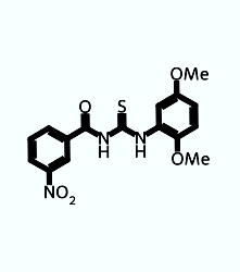 COc1ccc(OC)c(NC(=S)NC(=O)c2cccc([N+](=O)[O-])c2)c1